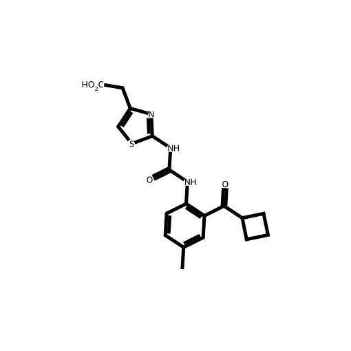 Cc1ccc(NC(=O)Nc2nc(CC(=O)O)cs2)c(C(=O)C2CCC2)c1